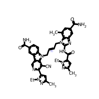 CCn1nc(C)cc1C(=O)Nc1nc2cc(C(N)=O)cc(C)c2n1C/C=C/Cn1c2ccc(C(N)=O)cc2c2cnc(-c3cc(C)nn3CC)c(C#N)c21